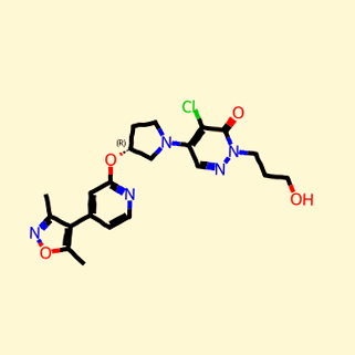 Cc1noc(C)c1-c1ccnc(O[C@@H]2CCN(c3cnn(CCCO)c(=O)c3Cl)C2)c1